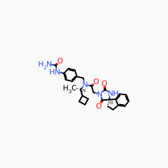 C[C@@H](C1CCC1)N(Cc1ccc(NC(N)=O)cc1)C(=O)CN1C(=O)N[C@]2(CCc3ccccc32)C1=O